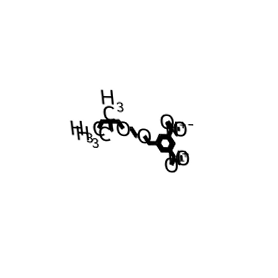 CCC(C)(CC)COCCOCc1cc([N+](=O)[O-])cc([N+](=O)[O-])c1